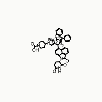 CC(C)(C)[Si](OC(c1cnn(C2CCN(C(=O)O)CC2)c1)c1ccc2c3c(cccc13)C(=O)N2C1CCC(=O)NC1=O)(c1ccccc1)c1ccccc1